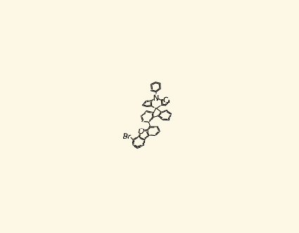 Brc1cccc2c1oc1c(-c3cccc4c3-c3ccccc3C43c4ccccc4N(c4ccccc4)c4ccccc43)cccc12